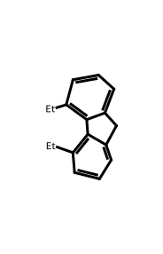 CCc1cccc2c1-c1c(CC)cccc1C2